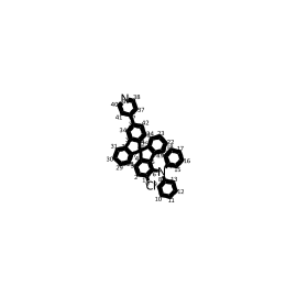 Clc1ccc2c(c1N(c1ccccc1)c1ccccc1)-c1ccccc1C21c2ccccc2-c2cc(-c3ccncc3)ccc21